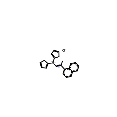 C/C(=[CH]\[Zr+]([C]1=CC=CC1)[C]1=CC=CC1)c1cccc2ccccc12.[Cl-]